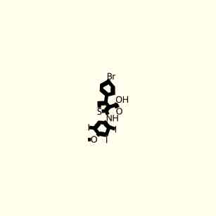 COc1c(I)cc(Nc2scc(-c3ccc(Br)cc3)c2C(=O)O)c(I)c1I